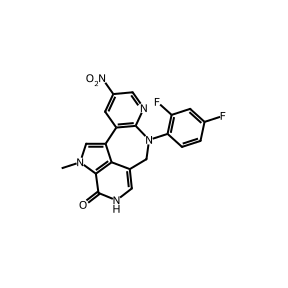 Cn1cc2c3c(c[nH]c(=O)c31)CN(c1ccc(F)cc1F)c1ncc([N+](=O)[O-])cc1-2